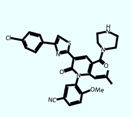 COc1ccc(C#N)cc1-n1c(C=C(C)C)c(C(=O)N2CCNCC2)cc(-c2nc(-c3ccc(Cl)cc3)cs2)c1=O